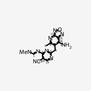 CN/C=N/c1nc(Cc2c(C)nc3nonc3c2N)ncc1C#N